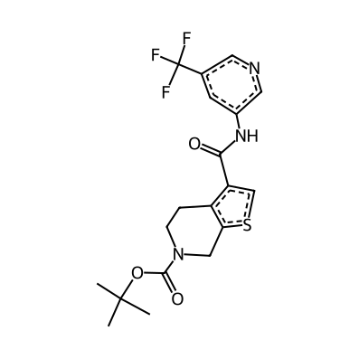 CC(C)(C)OC(=O)N1CCc2c(C(=O)Nc3cncc(C(F)(F)F)c3)csc2C1